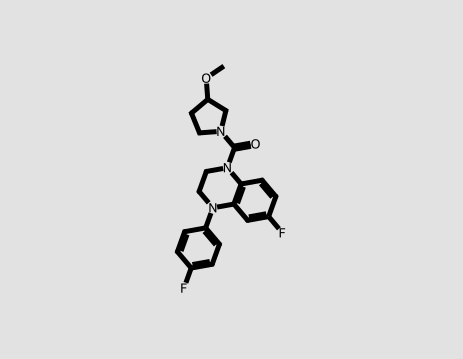 COC1CCN(C(=O)N2CCN(c3ccc(F)cc3)c3cc(F)ccc32)C1